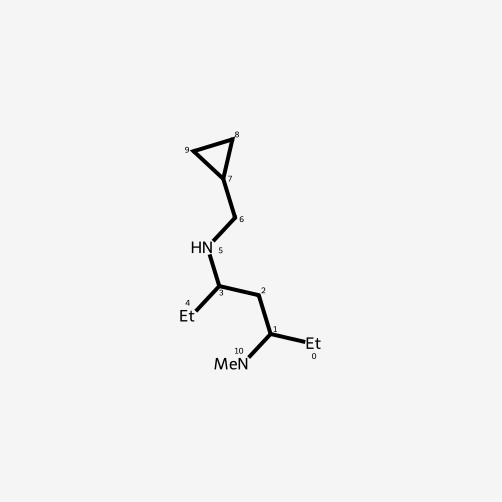 CCC(CC(CC)NCC1CC1)NC